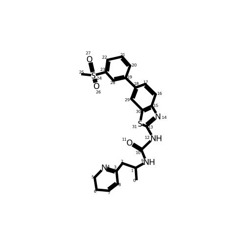 CC(CC1=NCCC=C1)NC(=O)Nc1nc2ccc(-c3cccc(S(C)(=O)=O)c3)cc2s1